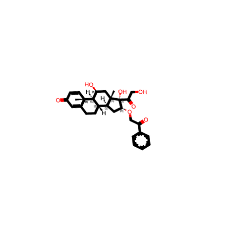 C[C@]12C=CC(=O)C=C1CC[C@@H]1[C@@H]2[C@@H](O)C[C@@]2(C)[C@H]1C[C@@H](OCC(=O)c1ccccc1)[C@]2(O)C(=O)CO